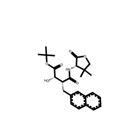 CC(C)(C)OC(=O)[C@@H](O)[C@@H](Cc1ccc2ccccc2c1)C(=O)N[C@@H]1C(=O)OCC1(C)C